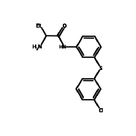 CCC(N)C(=O)Nc1cccc(Sc2cccc(Cl)c2)c1